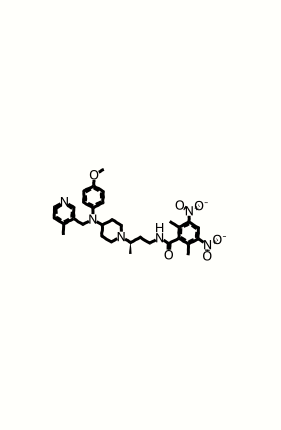 COc1ccc(N(Cc2cnccc2C)C2CCN([C@H](C)CCNC(=O)c3c(C)c([N+](=O)[O-])cc([N+](=O)[O-])c3C)CC2)cc1